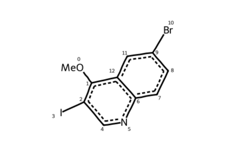 COc1c(I)cnc2ccc(Br)cc12